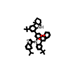 CC(C)c1ccc2scc(N(c3cc(-c4ccccc4)cc(-c4cc(C(C)(C)C)cc5c4NC4(C)CCCCC54C)c3)c3ccc(C(C)(C)C)cc3-c3ccccc3)c2c1